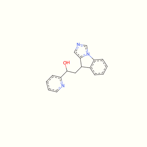 OC(CC1c2ccccc2-n2cncc21)c1ccccn1